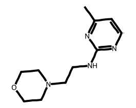 Cc1c[c]nc(NCCN2CCOCC2)n1